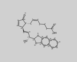 O=C(O)CCC/C=C\C[C@H]1C(=O)C=C[C@@H]1/C=C/[C@@H](O)C1Oc2cc3ccccc3cc2O1